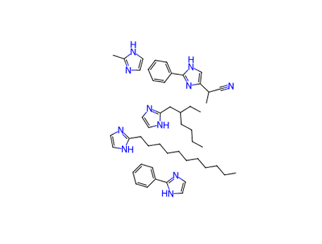 CC(C#N)c1c[nH]c(-c2ccccc2)n1.CCCCC(CC)Cc1ncc[nH]1.CCCCCCCCCCCc1ncc[nH]1.Cc1ncc[nH]1.c1ccc(-c2ncc[nH]2)cc1